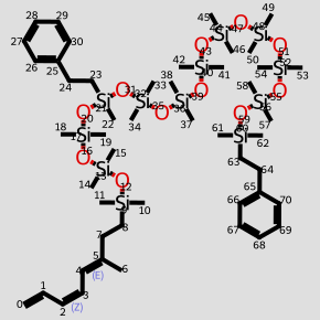 C=C/C=C\C=C(/C)CC[Si](C)(C)O[Si](C)(C)O[Si](C)(C)O[Si](C)(CCc1ccccc1)O[Si](C)(C)O[Si](C)(C)O[Si](C)(C)O[Si](C)(C)O[Si](C)(C)O[Si](C)(C)O[Si](C)(C)O[Si](C)(C)CCc1ccccc1